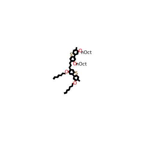 C=C/C=C/CCCOc1cc2c(cc1C)sc1cc(CCCc3cc4sc5cc(C)c(OCCCCCCCC)cc5c4cc3OCCCCCCCC)c(OCCC/C=C/C=C)cc12